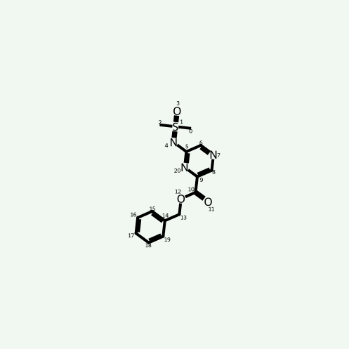 CS(C)(=O)=Nc1cncc(C(=O)OCc2ccccc2)n1